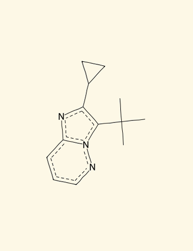 CC(C)(C)c1c(C2CC2)nc2cccnn12